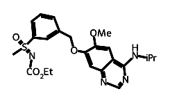 CCOC(=O)N=S(C)(=O)c1cccc(COc2cc3ncnc(NC(C)C)c3cc2OC)c1